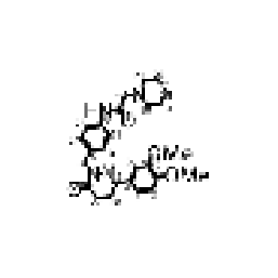 COc1ccc(C2=NN(Cc3ccc(NC(=O)CN4CCSCC4)cc3)C(=O)CC2)cc1OC